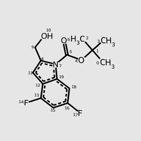 CC(C)(C)OC(=O)n1c(CO)cc2c(F)cc(F)cc21